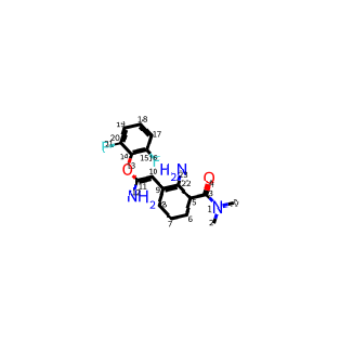 CN(C)C(=O)C1CCCC(/C=C(\N)Oc2c(F)cccc2F)=C1N